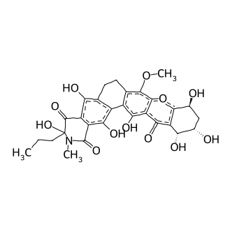 CCCC1(O)C(=O)c2c(O)c3c(c(O)c2C(=O)N1C)-c1c(c(OC)c2oc4c(c(=O)c2c1O)[C@@H](O)[C@@H](O)C[C@@H]4O)CC3